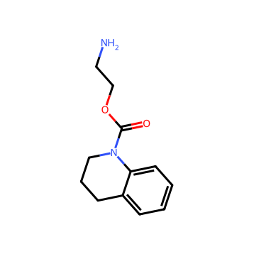 NCCOC(=O)N1CCCc2ccccc21